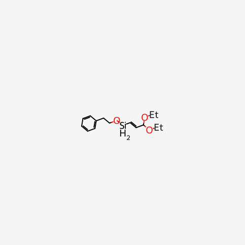 CCOC(C=C[SiH2]OCCc1ccccc1)OCC